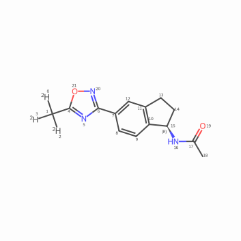 [2H]C([2H])([2H])c1nc(-c2ccc3c(c2)CC[C@H]3NC(C)=O)no1